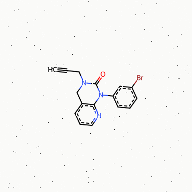 C#CCN1Cc2cccnc2N(c2cccc(Br)c2)C1=O